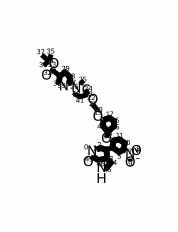 Cn1cc(-c2cc([N+](=O)[O-])ccc2Oc2cccc(OCCOC3CCN(c4ccc(C(=O)OC(C)(C)C)cn4)CC3)c2)c2cc[nH]c2c1=O